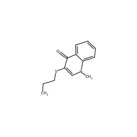 CCCSc1cn(C)c2ccccc2c1=O